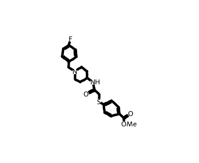 COC(=O)c1ccc(SCC(=O)NC2CCN(Cc3ccc(F)cc3)CC2)cc1